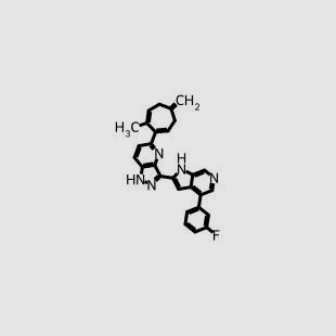 C=C1CC=C(C)C(c2ccc3[nH]nc(-c4cc5c(-c6cccc(F)c6)cncc5[nH]4)c3n2)=CC1